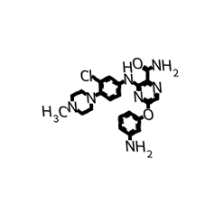 CN1CCN(c2ccc(Nc3nc(Oc4cccc(N)c4)cnc3C(N)=O)cc2Cl)CC1